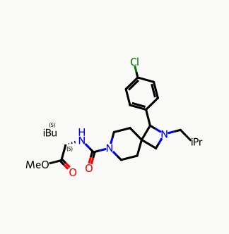 CC[C@H](C)[C@H](NC(=O)N1CCC2(CC1)CN(CC(C)C)C2c1ccc(Cl)cc1)C(=O)OC